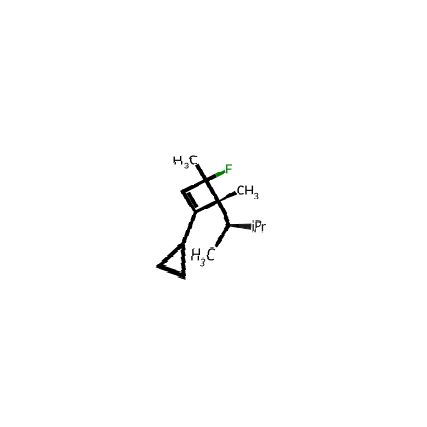 CC(C)[C@@H](C)[C@]1(C)C(C2CC2)=CC1(C)F